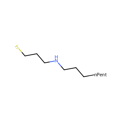 CCCCCCCCNCCC[S]